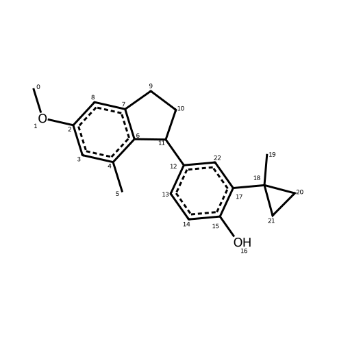 COc1cc(C)c2c(c1)CCC2c1ccc(O)c(C2(C)CC2)c1